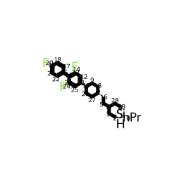 CCC[SiH]1CCC(CC[C@H]2CC[C@H](c3cc(F)c(-c4ccc(F)cc4)c(F)c3)CC2)CC1